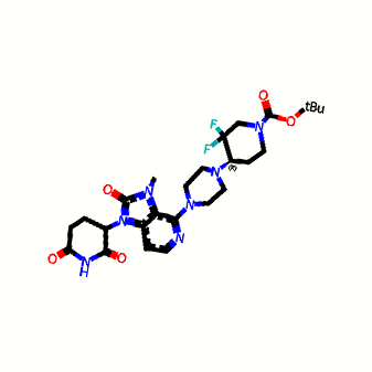 Cn1c(=O)n(C2CCC(=O)NC2=O)c2ccnc(N3CCN([C@@H]4CCN(C(=O)OC(C)(C)C)CC4(F)F)CC3)c21